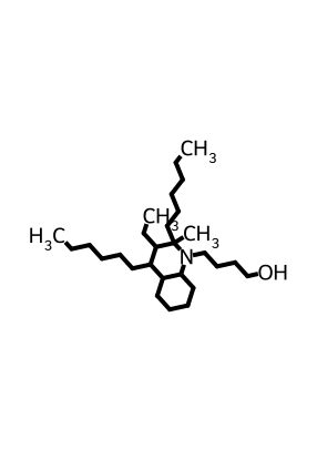 CCCCCCC1C2CCCCC2N(CCCCO)C(C)(CCCCCC)C1CC